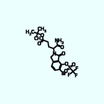 CC(C)(C)OC(=O)CCC(C(N)=O)N1Cc2ccc(Br)c(OS(=O)(=O)C(F)(F)F)c2C1=O